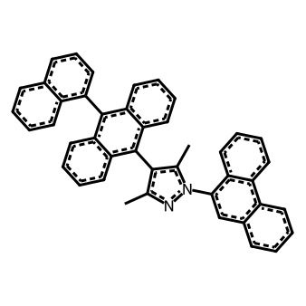 Cc1nn(-c2cc3ccccc3c3ccccc23)c(C)c1-c1c2ccccc2c(-c2cccc3ccccc23)c2ccccc12